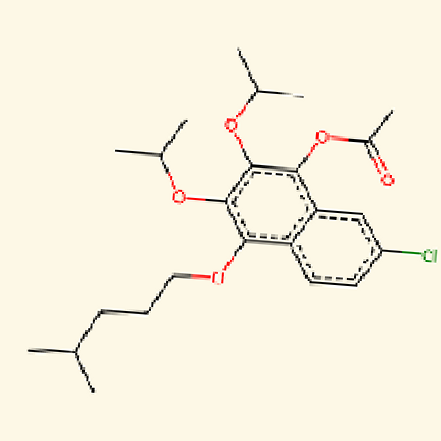 CC(=O)Oc1c(OC(C)C)c(OC(C)C)c(OCCCC(C)C)c2ccc(Cl)cc12